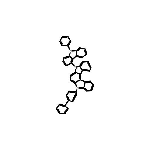 c1ccc(-c2ccc(-n3c4ccccc4c4c5c6ccccc6n(-c6cccc7c6c6ccccc6n7-c6ccccc6)c5ccc43)cc2)cc1